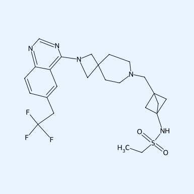 CCS(=O)(=O)NC12CC(CN3CCC4(CC3)CN(c3ncnc5ccc(CC(F)(F)F)cc35)C4)(C1)C2